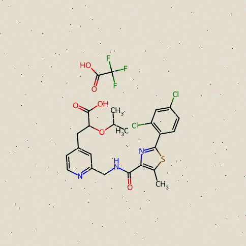 Cc1sc(-c2ccc(Cl)cc2Cl)nc1C(=O)NCc1cc(CC(OC(C)C)C(=O)O)ccn1.O=C(O)C(F)(F)F